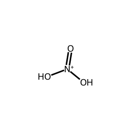 O=[N+](O)O